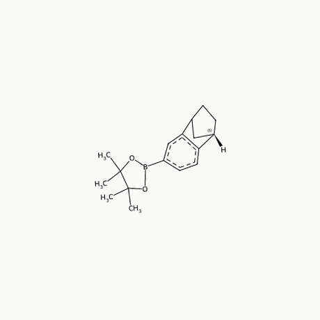 CC1(C)OB(c2ccc3c(c2)C2CC[C@H]3C2)OC1(C)C